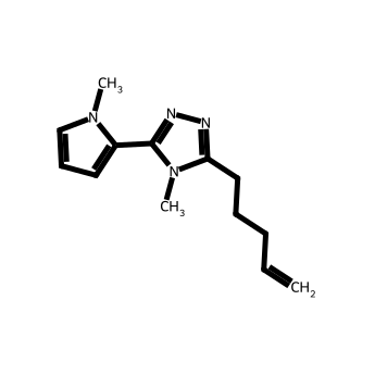 C=CCCCc1nnc(-c2cccn2C)n1C